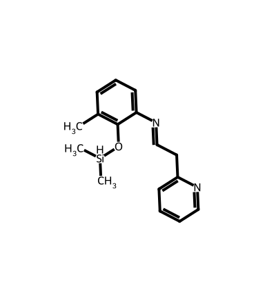 Cc1cccc(N=CCc2ccccn2)c1O[SiH](C)C